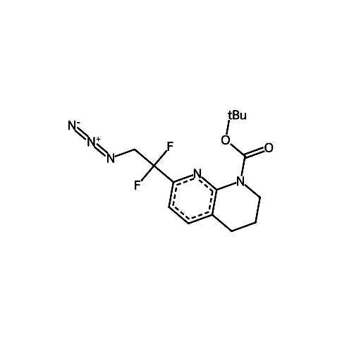 CC(C)(C)OC(=O)N1CCCc2ccc(C(F)(F)CN=[N+]=[N-])nc21